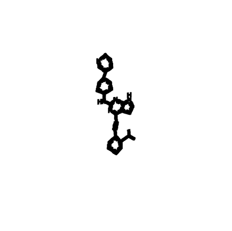 CC(C)c1ccccc1C#Cc1nc(Nc2ccc(-c3cccnc3)cc2)nc2[nH]ccc12